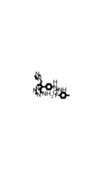 Cc1ccc(F)c(NC(=O)Nc2ccc(-c3c(Cn4ccnc4)cn4ncnc(N)c34)cc2)c1